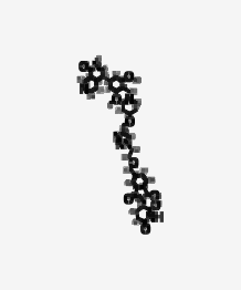 COc1cc(-c2cn(C)c(=O)c3cnccc23)cc(OC)c1CN1CCC(OCc2cn(CCOCc3ccc4c(c3)C(=O)N(C3CCC(=O)NC3=O)C4=O)nn2)CC1